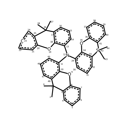 CC1(C)c2ccccc2Oc2c(N(c3cccc4c3Oc3ccccc3C4(C)C)c3cccc4c3Oc3ccccc3[Si]4(C)C)cccc21